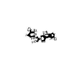 CCc1nc(NCC(CO)N2CCc3c([nH]c4ccc(Cl)cc34)C2)ccc1Cl